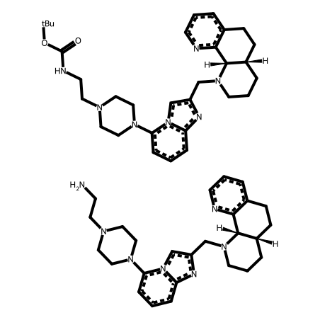 CC(C)(C)OC(=O)NCCN1CCN(c2cccc3nc(CN4CCC[C@H]5CCc6cccnc6[C@H]54)cn23)CC1.NCCN1CCN(c2cccc3nc(CN4CCC[C@H]5CCc6cccnc6[C@H]54)cn23)CC1